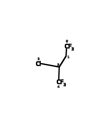 FC(F)(F)CC(Cl)C(F)(F)F